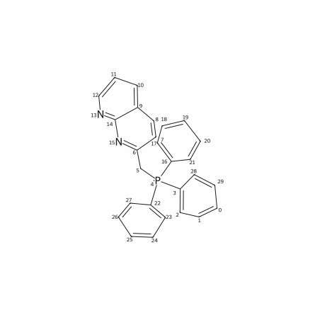 c1ccc([P](Cc2ccc3cccnc3n2)(c2ccccc2)c2ccccc2)cc1